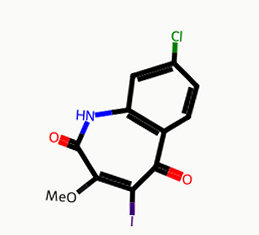 COc1c(I)c(=O)c2ccc(Cl)cc2[nH]c1=O